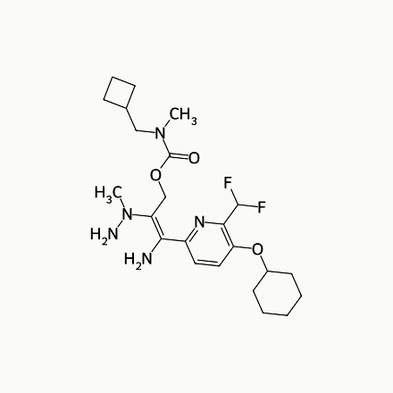 CN(CC1CCC1)C(=O)OC/C(=C(/N)c1ccc(OC2CCCCC2)c(C(F)F)n1)N(C)N